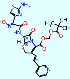 CC(C)(C)C(=O)OCOC(=O)C1=C(/C=C/c2cccnc2)CS[C@H]2[C@H](NC(=O)C(=NO)c3csc(N)n3)C(=O)N12